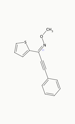 CO/N=C(/C#Cc1ccccc1)c1cccs1